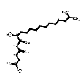 CC(C)CCCCCCCCCCC(C)C(=O)OC(=O)CCC(=O)O